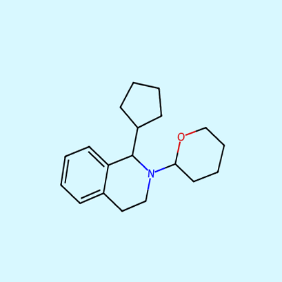 c1ccc2c(c1)CCN(C1CCCCO1)C2C1CCCC1